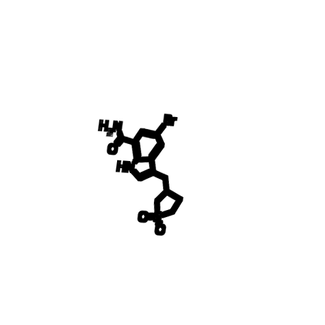 NC(=O)c1cc(Br)cc2c(CC3CCS(=O)(=O)C3)c[nH]c12